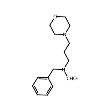 O=[C]N(CCCN1CCOCC1)Cc1ccccc1